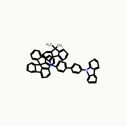 CC1(C)c2ccccc2-c2c(N(c3ccc(-c4ccc(-n5c6ccccc6c6ccccc65)cc4)cc3)c3cccc4c3C3(c5ccccc5-c5ccccc53)c3ccccc3-4)cccc21